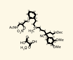 CCCCCCCCCCCCC(C#N)(CCCN(C)CCc1ccccc1OCC(CNC(C)=O)O[N+](=O)[O-])c1ccc(OC)c(OC)c1.O.O=C(O)C(=O)O